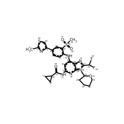 Cc1nc(-c2ccc(Nc3cc(NC(=O)C4CC4)nc4c3nc(C(F)F)n4C3CCCCO3)c(S(C)(=O)=O)c2)cs1